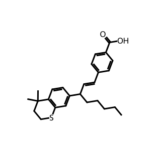 CCCCCC(C=Cc1ccc(C(=O)O)cc1)c1ccc2c(c1)SCCC2(C)C